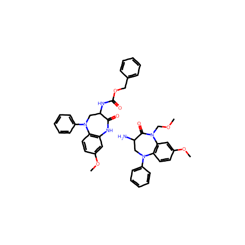 COCN1C(=O)C(N)CN(c2ccccc2)c2ccc(OC)cc21.COc1ccc2c(c1)NC(=O)C(NC(=O)OCc1ccccc1)CN2c1ccccc1